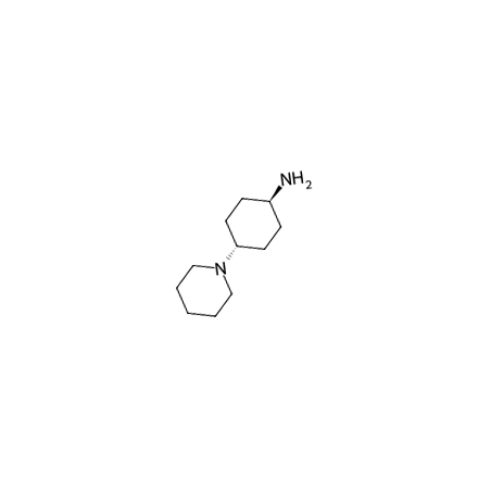 N[C@H]1CC[C@H](N2CCCCC2)CC1